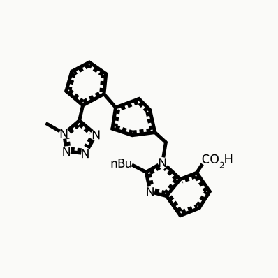 CCCCc1nc2cccc(C(=O)O)c2n1Cc1ccc(-c2ccccc2-c2nnnn2C)cc1